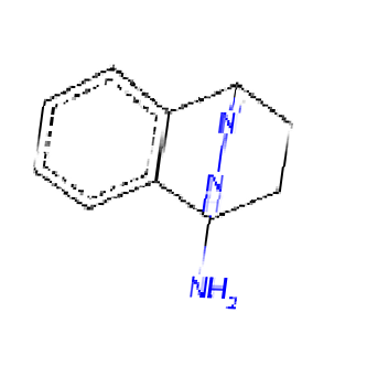 NC12CCC(=NN1)c1ccccc12